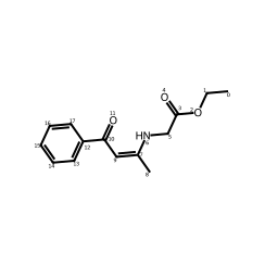 CCOC(=O)CNC(C)=CC(=O)c1ccccc1